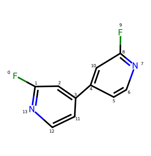 Fc1cc(-c2ccnc(F)c2)ccn1